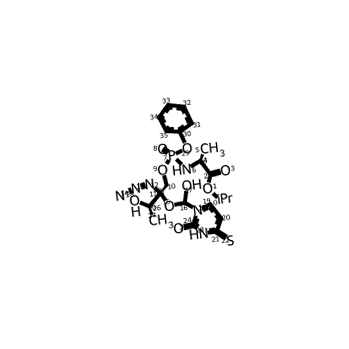 CC(C)OC(=O)[C@H](C)NP(=O)(OC[C@@](N=[N+]=[N-])(OC(O)n1ccc(=S)[nH]c1=O)[C@@H](C)O)Oc1ccccc1